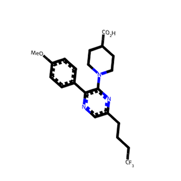 COc1ccc(-c2ncc(CCCC(F)(F)F)nc2N2CCC(C(=O)O)CC2)cc1